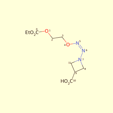 CCOC(=O)OCCO/N=N\N1CC(C(=O)O)C1